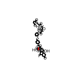 C[C@H](NC(=O)CCN1C(=O)C=CC1=O)C(=O)N[C@@H](C)C(=O)Nc1cccc(SCc2ccc([C@@H]3O[C@@H]4CC5[C@@H]6C[C@H](F)C7=CC(=O)C=C[C@]7(C)[C@@]6(F)[C@@H](O)C[C@]5(C)[C@]4(C(=O)CO)O3)cc2)c1